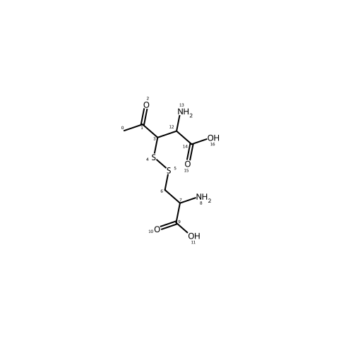 CC(=O)C(SSCC(N)C(=O)O)C(N)C(=O)O